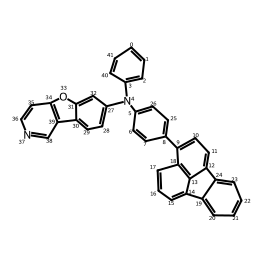 c1ccc(N(c2ccc(-c3ccc4c5c(cccc35)-c3ccccc3-4)cc2)c2ccc3c(c2)oc2ccncc23)cc1